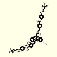 Nc1ccc(CC(CC(=O)/C=C/c2ccc(C(=O)Oc3ccc(OCCCC(F)(F)F)cc3)cc2)(Cc2ccc(N)cc2)C(O)(O)C(=O)/C=C/c2ccc(C(=O)Oc3ccc(OCCCC(F)(F)F)cc3)cc2)cc1